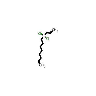 C=CCCCCCC[Si](Cl)(Cl)CC=C